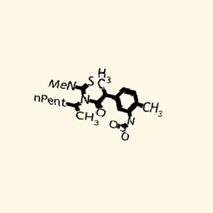 CCCCCC(C)N(C(=O)C(C)c1ccc(C)c(N=S(=O)=O)c1)C(=S)NC